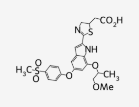 COCC(C)Oc1cc(Oc2ccc(S(C)(=O)=O)cc2)cc2cc(C3=NCC(CC(=O)O)S3)[nH]c12